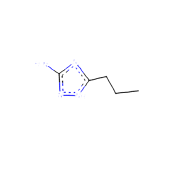 CCCc1nc(N)n[nH]1